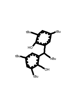 CCCCC(c1cc(C(C)(C)C)cc(C(C)(C)C)c1O)c1cc(C(C)(C)C)cc(C(C)(C)C)c1O